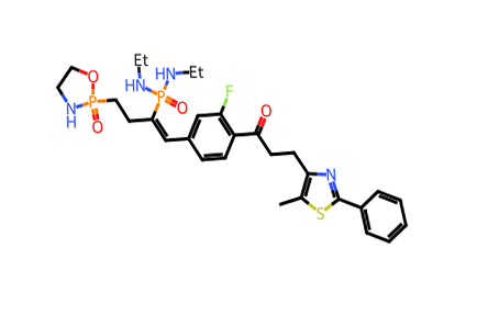 CCNP(=O)(NCC)C(=Cc1ccc(C(=O)CCc2nc(-c3ccccc3)sc2C)c(F)c1)CCP1(=O)NCCO1